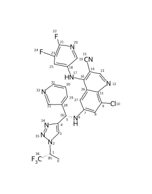 C[C@@H](n1cc([C@@H](Nc2cc(Cl)c3ncc(C#N)c(Nc4cnc(F)c(F)c4)c3c2)c2cccnc2)nn1)C(F)(F)F